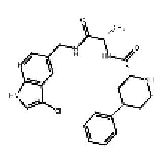 C[C@H](NC(=O)[C@H]1C[C@@H](c2ccccc2)CCN1)C(=O)NCc1cnc2[nH]cc(Cl)c2c1